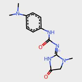 CN1CC(=O)N/C1=N\C(=O)Nc1ccc(N(C)C)cc1